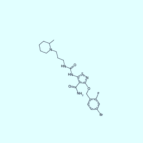 CC1CCCCN1CCCNC(=O)Nc1snc(OCc2ccc(Br)cc2F)c1C(N)=O